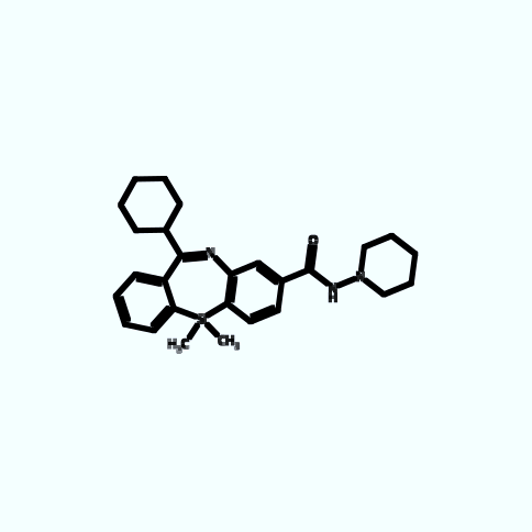 C[Si]1(C)c2ccc(C(=O)NN3CCCCC3)cc2N=C(C2CCCCC2)c2ccccc21